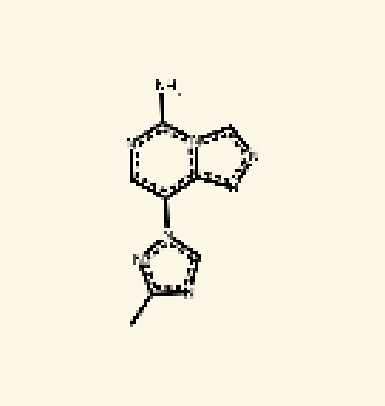 Cc1ncn(-c2cnc(N)n3cnnc23)n1